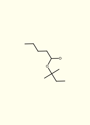 CCCCC([O])OC(C)(C)CC